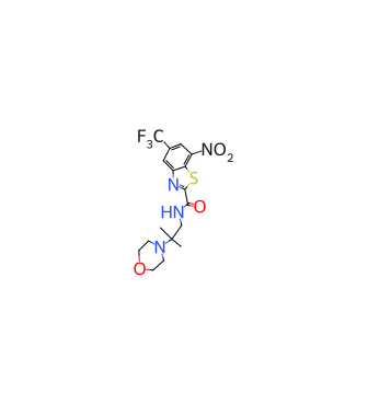 CC(C)(CNC(=O)c1nc2cc(C(F)(F)F)cc([N+](=O)[O-])c2s1)N1CCOCC1